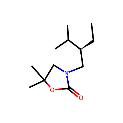 CC[C@@H](CN1CC(C)(C)OC1=O)C(C)C